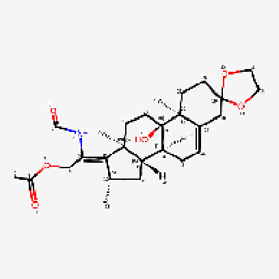 CC(=O)OCC(NC=O)=C1[C@@H](C)C[C@H]2[C@@H]3CC=C4CC5(CC[C@]4(C)[C@@]3(O)CC[C@]12C)OCCO5